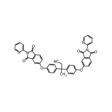 CC(CC#N)(c1ccc(Oc2ccc3c(c2)C(=O)N(c2ccccn2)C3=O)cc1)c1ccc(Oc2ccc3c(c2)C(=O)N(c2ccccn2)C3=O)cc1